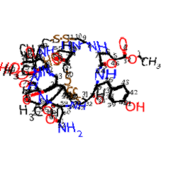 CCOC(=O)CCC1NC2CSSCC3N[C@@H]([C@@H](C)O)C(=O)NCC(=O)C(C)CSSCC(C(=O)[C@H](Cc4ccc(O)cc4)NC1=O)C(CSSCC(=O)[C@H](CS)N2)N[C@@H](CC(N)=O)C(=O)N1CCC[C@H]1C(=O)N[C@@H](C)C3=O